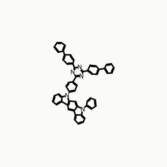 c1ccc(-c2ccc(-c3nc(-c4ccc(-c5ccccc5)cc4)nc(-c4ccc(-n5c6ccccc6c6cc7c8ccccc8n(-c8ccccc8)c7cc65)cc4)n3)cc2)cc1